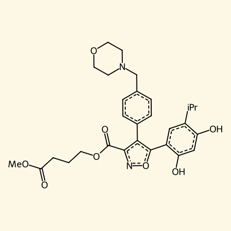 COC(=O)CCCOC(=O)c1noc(-c2cc(C(C)C)c(O)cc2O)c1-c1ccc(CN2CCOCC2)cc1